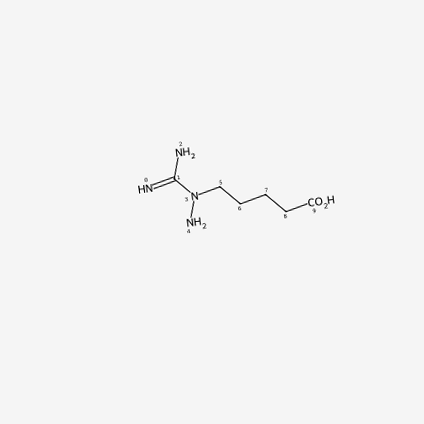 N=C(N)N(N)CCCCC(=O)O